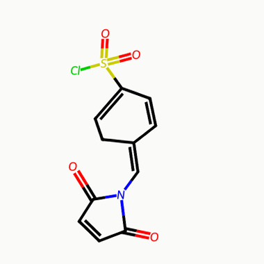 O=C1C=CC(=O)N1C=C1C=CC(S(=O)(=O)Cl)=CC1